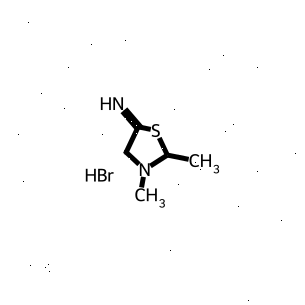 Br.CC1SC(=N)CN1C